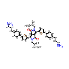 CCCCCC(CC)CN1C(=O)C2=C(c3ccc(-c4ccc(CCCN)cc4)s3)N(CC(CC)CCCC)C(=O)C2=C1c1ccc(C2=CC=C(CCCN)CC2)s1